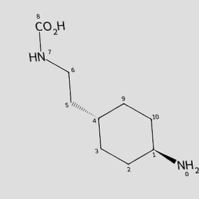 N[C@H]1CC[C@H](CCNC(=O)O)CC1